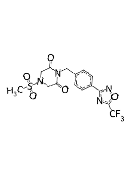 CS(=O)(=O)N1CC(=O)N(Cc2ccc(-c3noc(C(F)(F)F)n3)cc2)C(=O)C1